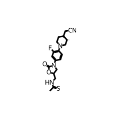 CC(=S)NCC1CN(c2ccc(N3C[CH][C](CC#N)CC3)c(F)c2)C(=O)O1